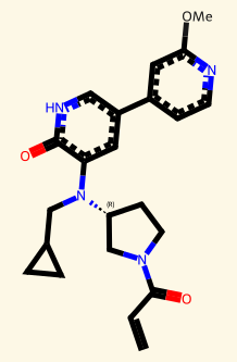 C=CC(=O)N1CC[C@@H](N(CC2CC2)c2cc(-c3ccnc(OC)c3)c[nH]c2=O)C1